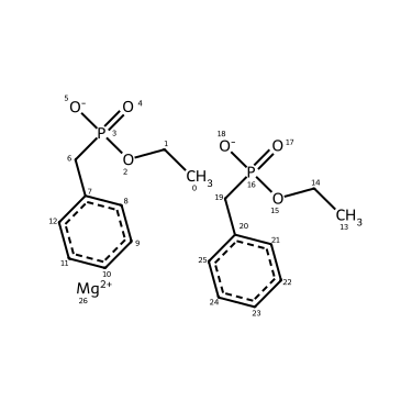 CCOP(=O)([O-])Cc1ccccc1.CCOP(=O)([O-])Cc1ccccc1.[Mg+2]